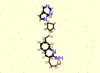 c1ncc2ccn([C@@H]3CC[C@H](CCc4ccc5cc6c(nc5c4)NOCCC6)C3)c2n1